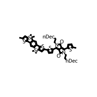 CCCCCCCCCCCCN1C(=O)C2=C(c3ccc(-c4cc5c(s4)-c4cc6c(cc4[Si]5(C)C)-c4sc(C)cc4[Si]6(C)C)s3)N(CCCCCCCCCCCC)C(=O)C2=C1c1ccc(C)s1